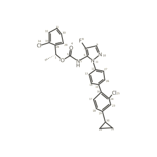 C[C@@H](OC(=O)Nc1c(F)cnn1-c1ccc(-c2ccc(C3CC3)cc2Cl)cc1)c1ccccc1Cl